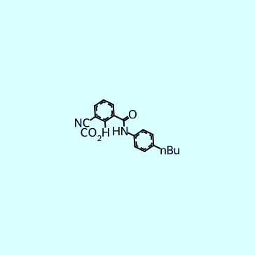 CCCCc1ccc(NC(=O)c2cccc(C#N)c2C(=O)O)cc1